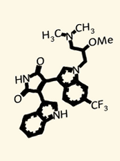 COC(CN(C)C)Cn1cc(C2=C(c3c[nH]c4ccccc34)C(=O)NC2=O)c2ccc(C(F)(F)F)cc21